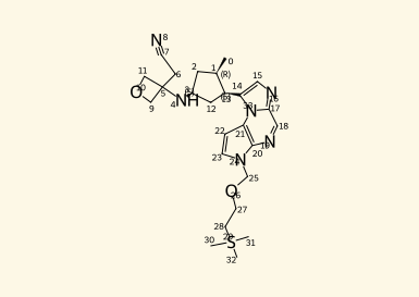 C[C@@H]1C[C@H](NC2(CC#N)COC2)C[C@@H]1c1cnc2cnc3c(ccn3COCCS(C)(C)C)n12